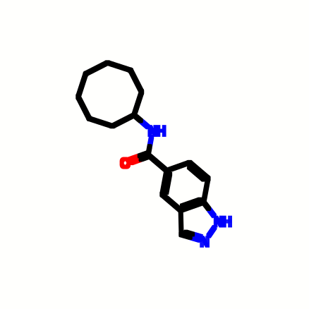 O=C(NC1CCCCCCC1)c1ccc2[nH]ncc2c1